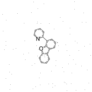 [c]1cc(-c2ccccn2)c2oc3ccccc3c2c1